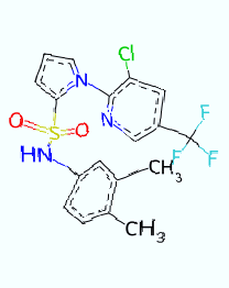 Cc1ccc(NS(=O)(=O)c2cccn2-c2ncc(C(F)(F)F)cc2Cl)cc1C